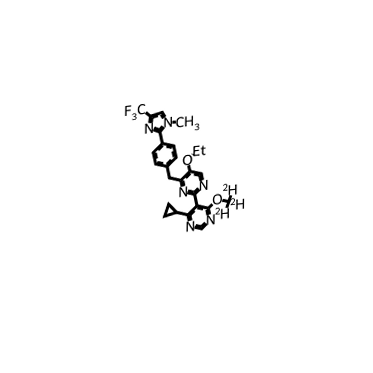 [2H]C([2H])([2H])Oc1ncnc(C2CC2)c1-c1ncc(OCC)c(Cc2ccc(-c3nc(C(F)(F)F)cn3C)cc2)n1